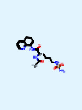 CC(=O)N[C@@H](CCCCNS(N)(=O)=O)C(=O)Nc1cccc2cccnc12